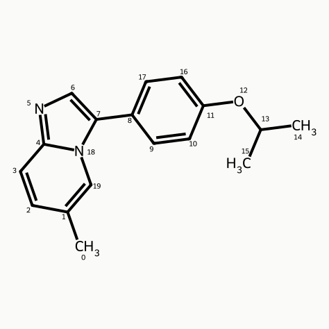 Cc1ccc2ncc(-c3ccc(OC(C)C)cc3)n2c1